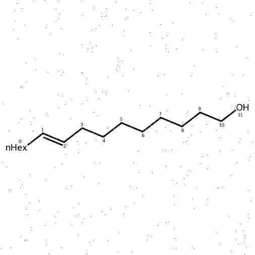 CCCCCC/C=C/CCCCCCCCO